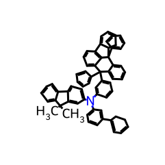 CC1(C)c2ccccc2-c2ccc(N(c3cccc(C4=CC=CCC4)c3)c3cccc(C4(c5ccccc5)c5ccccc5C5(c6ccccc6)c6c(cccc64)C4=CC=CCC45)c3)cc21